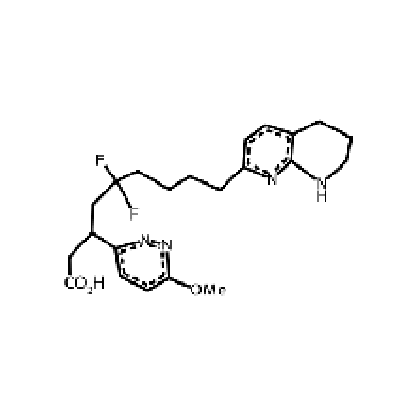 COc1ccc(C(CC(=O)O)CC(F)(F)CCCCc2ccc3c(n2)NCCC3)nn1